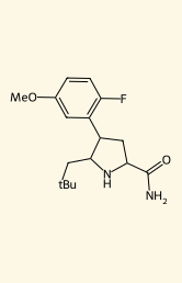 COc1ccc(F)c(C2CC(C(N)=O)NC2CC(C)(C)C)c1